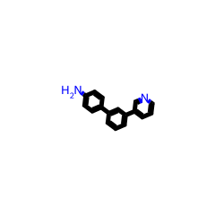 Nc1ccc(-c2cccc(-c3cccnc3)c2)cc1